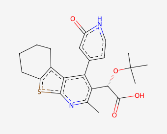 Cc1nc2sc3c(c2c(-c2cc[nH]c(=O)c2)c1[C@H](OC(C)(C)C)C(=O)O)CCCC3